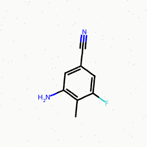 Cc1c(N)cc(C#N)cc1F